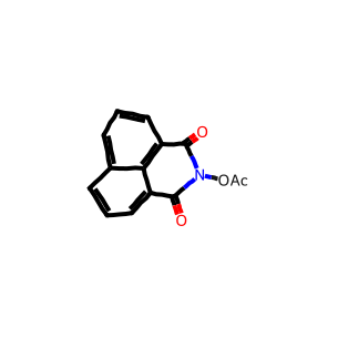 CC(=O)ON1C(=O)c2cccc3cccc(c23)C1=O